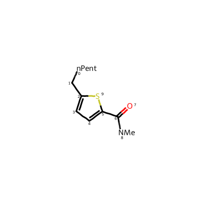 CCCCCCc1ccc(C(=O)NC)s1